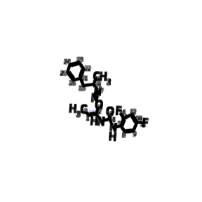 C/C=C(/NC(=O)Nc1ccc(F)cc1F)ON=NC(C)Cc1ccccc1